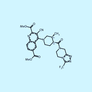 COC(=O)c1ccc2nc(C(=O)OC)c(C#N)c(N3CC[C@H](C(=O)N4CCn5c(nnc5C(F)(F)F)C4)[C@H](C)C3)c2c1